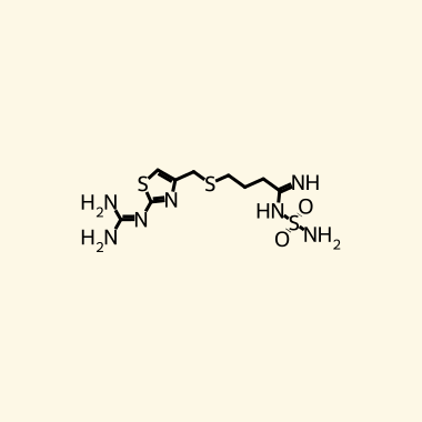 N=C(CCCSCc1csc(N=C(N)N)n1)NS(N)(=O)=O